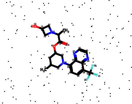 CC1CC(OC(=O)C(C)N2CC(O)C2)CN(c2ccc(C(F)(F)F)c3nccnc23)C1